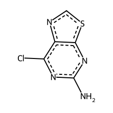 Nc1nc(Cl)c2ncsc2n1